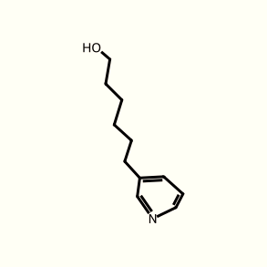 OCCCCCCc1cccnc1